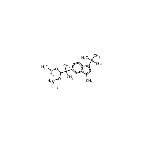 C[SiH2]OC(O[SiH2]C)C(C)(C)c1ccc2c(c1)c(C)cn2[Si](C)(C)C(C)(C)C